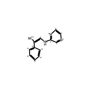 N#CC(=CNc1cnccn1)c1ccccc1